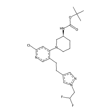 CC(C)(C)OC(=O)N[C@H]1CCCN(c2cc(Cl)ncc2CCc2cnn(CC(F)F)c2)C1